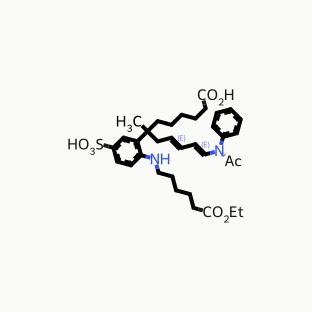 CCOC(=O)CCCCCNc1ccc(S(=O)(=O)O)cc1C(C)(C/C=C/C=C/N(C(C)=O)c1ccccc1)CCCCCC(=O)O